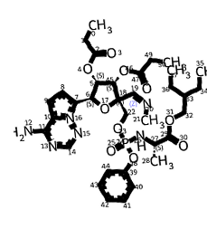 CCC(=O)O[C@H]1[C@H](c2ccc3c(N)ncnn23)O[C@](/C=N\C)(COP(=O)(N[C@@H](C)C(=O)OCC(CC)CC)Oc2ccccc2)[C@H]1OC(=O)CC